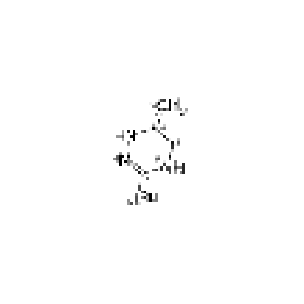 C=C1CNC(C(C)(C)C)=NN1